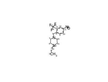 CCCN1CCN(Cc2ccc(N=O)cc2C(F)(F)F)CC1